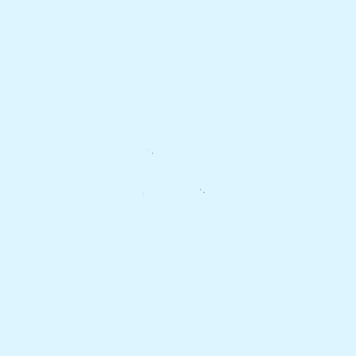 O=[PH](Oc1nc(-c2ccccc2)cc2ccccc12)Oc1nc(-c2ccccc2)cc2ccccc12